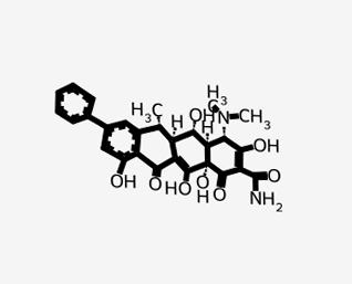 C[C@H]1c2cc(-c3ccccc3)cc(O)c2C(=O)C2=C(O)[C@]3(O)C(=O)C(C(N)=O)=C(O)[C@@H](N(C)C)[C@@H]3[C@@H](O)[C@@H]21